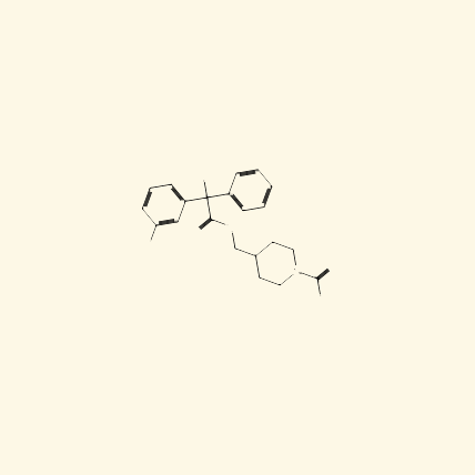 O=C(O)N1CCC(COC(=O)C(O)(c2ccccc2)c2cccc(O)c2)CC1